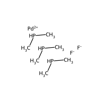 CPC.CPC.CPC.[F-].[F-].[Pd+2]